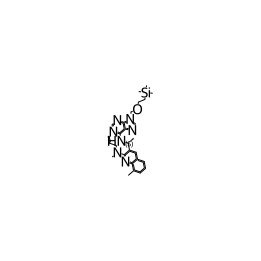 C=CCN(C)c1nc2c(C)cccc2cc1[C@H](C)Nc1ncnc2c1ncn2COCC[Si](C)(C)C